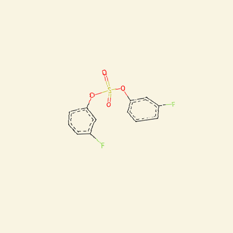 O=S(=O)(Oc1cccc(F)c1)Oc1cccc(F)c1